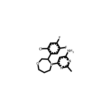 Cc1nc(N)cc(N2CCCOCC2c2cc(F)c(F)cc2Cl)n1